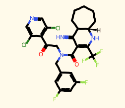 N=C1C(C(=O)N(CC(=O)c2c(Cl)cncc2Cl)Cc2cc(F)cc(F)c2)=C(C(F)(F)F)N[C@H]2CCCCCC12